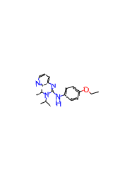 CCOc1ccc(NC(=Nc2cccnc2)N(C(C)C)C(C)C)cc1